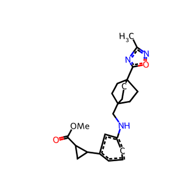 COC(=O)C1CC1c1cccc(NCC23CCC(c4nc(C)no4)(CC2)CC3)c1